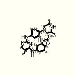 Cc1cnc(Nc2ccc(N3CC(C)NC(C)C3)nc2)nc1Nc1ccc2oc(=O)[nH]c2c1